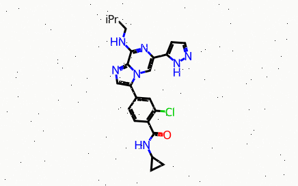 CC(C)CNc1nc(-c2ccn[nH]2)cn2c(-c3ccc(C(=O)NC4CC4)c(Cl)c3)cnc12